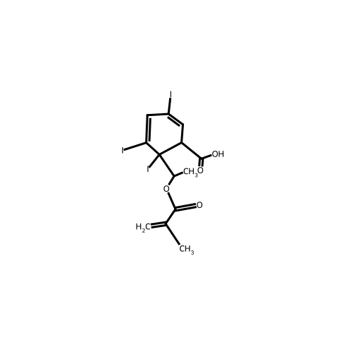 C=C(C)C(=O)OC(C)C1(I)C(I)=CC(I)=CC1C(=O)O